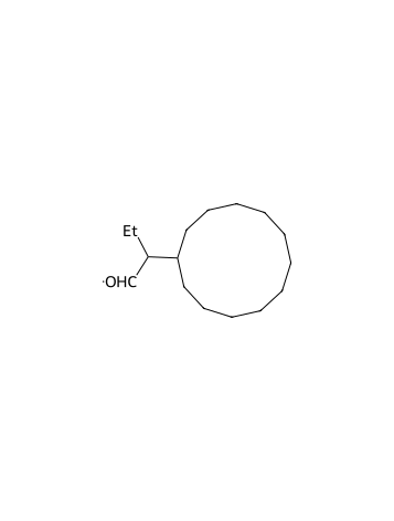 CCC([C]=O)C1CCCCCCCCCCC1